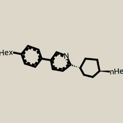 CCCCCCc1ccc(-c2ccc([C@H]3CC[C@H](CCCCCC)CC3)nc2)cc1